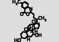 Cc1ccc2nc(CC[C@@H](C)[C@H]3CC[C@H]4[C@H]5C(CC[C@]34C)[C@@]3(C)CC[C@@H](O)C[C@H]3C[C@@H]5O)oc(=O)c2c1